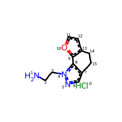 Cl.NCCn1ncc2c1-c1occc1CC2